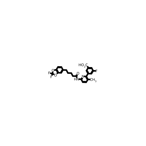 Cc1ccc(NC(=O)CCCCc2ccc3c(c2)OC(F)(F)O3)nc1-c1cc(F)cc(C(=O)O)c1